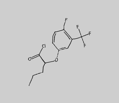 CCCC(Oc1ccc(F)c(C(F)(F)F)c1)C(=O)Cl